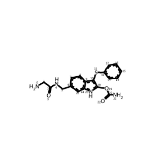 NCC(=O)NCc1ccc2c(Sc3ccccc3)c(OC(N)=O)[nH]c2c1